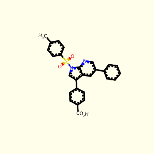 Cc1ccc(S(=O)(=O)n2cc(-c3ccc(C(=O)O)cc3)c3cc(-c4ccccc4)cnc32)cc1